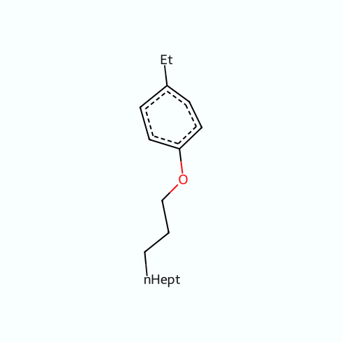 CCCCCCCCCCOc1ccc(CC)cc1